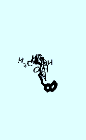 CC(C)CC(NC(=O)C1CC(Cc2ccc3ccccc3c2)=NO1)B(O)O